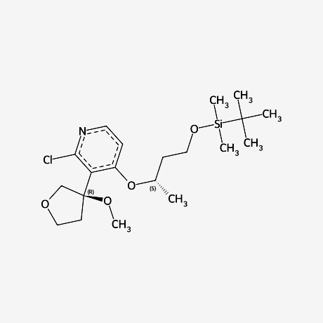 CO[C@@]1(c2c(O[C@@H](C)CCO[Si](C)(C)C(C)(C)C)ccnc2Cl)CCOC1